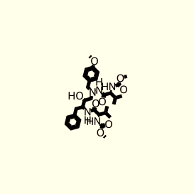 COC(=O)N[C@H](C(=O)NC(Cc1ccccc1)C(O)CN(Cc1ccc(OC)cc1)NC(=O)[C@@H](NC(=O)OC)C(C)C)C(C)C